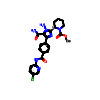 CC(C)(C)OC(=O)N1CCCC[C@H]1c1nc(-c2ccc(C(=O)Nc3ccc(Cl)cn3)cc2)c(C(N)=O)n1N